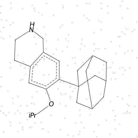 CC(C)Oc1cc2c(cc1C13CC4CC(CC(C4)C1)C3)CNCC2